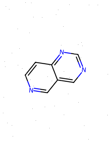 c1cc2ncncc2cn1